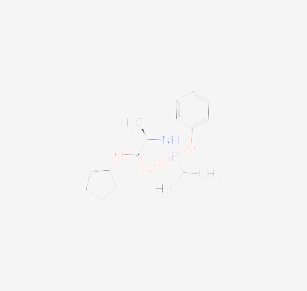 CC(C)[P@](=O)(N[C@H](C)C(=O)OC1CCCC1)Oc1ccccc1